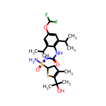 CC1=C(C(C)(C)O)SC(S(N)(=O)=NC(=O)Nc2c(C(C)C)cc(OC(F)F)cc2C(C)C)C1